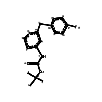 CC(C)(C)OC(=O)Nc1ccnc(Cc2ccc(F)cc2)c1